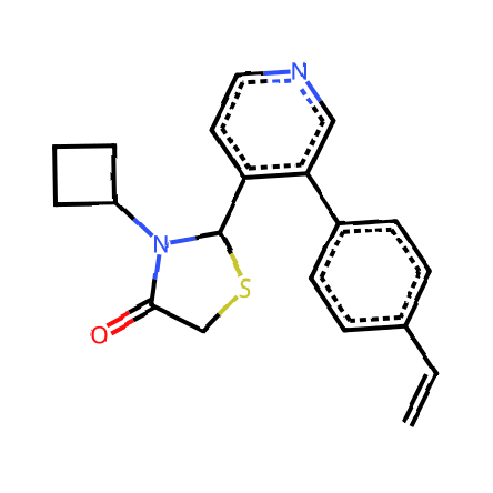 C=Cc1ccc(-c2cnccc2C2SCC(=O)N2C2CCC2)cc1